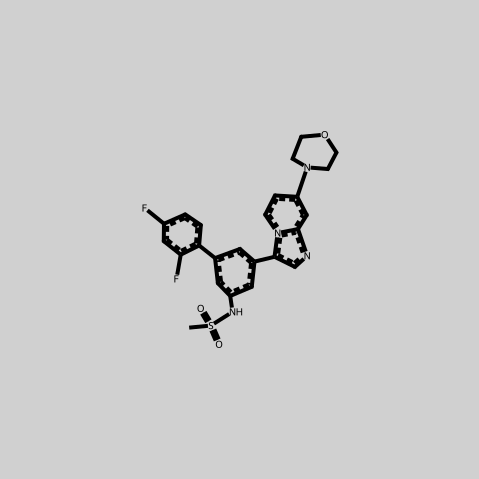 CS(=O)(=O)Nc1cc(-c2ccc(F)cc2F)cc(-c2cnc3cc(N4CCOCC4)ccn23)c1